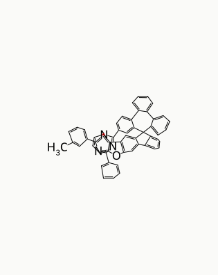 Cc1cccc(-c2nc(-c3ccccc3)nc(-c3ccc4c(c3)C3(c5ccccc5-c5ccccc5-4)c4ccccc4-c4cc5oc6ccccc6c5cc43)n2)c1